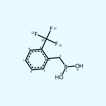 OB(O)Cc1ccccc1C(F)(F)F